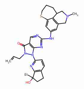 C=CCn1c(=O)c2cnc(Nc3cc4c5c(c3)SCCCC5CN(C)C4)nc2n1-c1ccc2c(n1)C(O)(CC)CC2